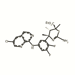 CCOC(=O)[C@@]1(C)SC(N)=N[C@](C)(c2cc(Nc3nccc4cc(Cl)cnc34)cc(F)c2F)[C@@H]1C